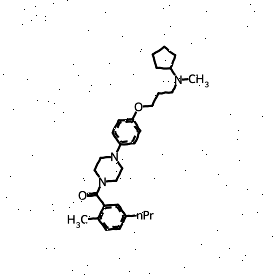 CCCc1ccc(C)c(C(=O)N2CCN(c3ccc(OCCCN(C)C4CCCC4)cc3)CC2)c1